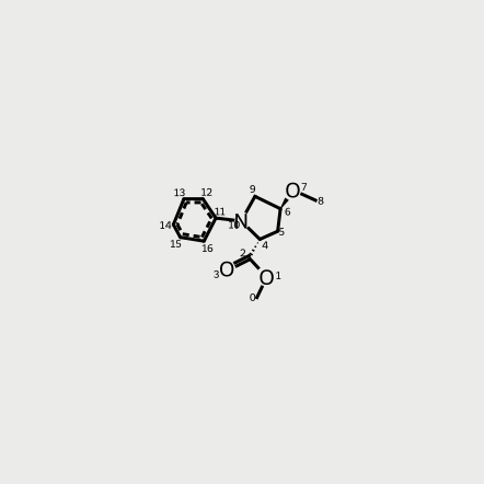 COC(=O)[C@H]1C[C@H](OC)CN1c1ccccc1